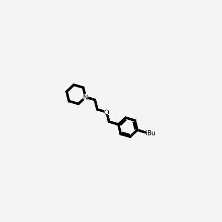 CCC(C)c1ccc(COCCN2CCCCC2)cc1